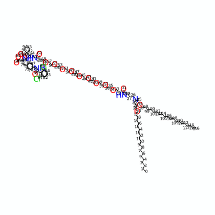 CCCCCCCCCCCCCCCCCCCCOCC(CN(C)CCCNC(=O)CCOCCOCCOCCOCCOCCOCCOCCOCCOCCC(=O)NCCC1(C(=O)N[C@@H](Cc2ccc(NC(=O)c3c(Cl)cccc3Cl)cc2)C(=O)O)CCCC1)OCCCCCCCCCCCCCCCCCCCC